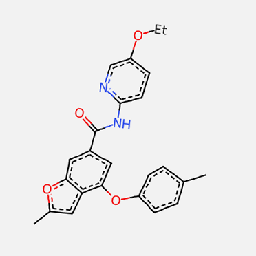 CCOc1ccc(NC(=O)c2cc(Oc3ccc(C)cc3)c3cc(C)oc3c2)nc1